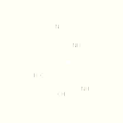 CC(C)/C(C=N)=C1\C=CN=CN1